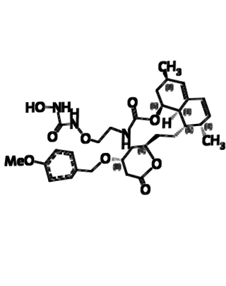 COc1ccc(CO[C@H]2CC(=O)O[C@H](CC[C@@H]3[C@@H]4C(=C[C@H](C)C[C@@H]4OC(=O)NCCONC(=O)NO)C=C[C@@H]3C)C2)cc1